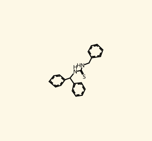 S=C(NCc1ccccc1)NC(c1ccccc1)c1ccccc1